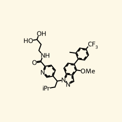 COc1c(-c2ccc(C(F)(F)F)cc2C)ccc2c1cnn2C(CC(C)C)c1ccc(C(=O)NCCC(O)O)nc1